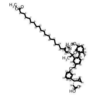 COC(=O)CCCCCCCCCCCCCCCCCc1cn(C(C)(C)c2cc(COc3cccc([C@@H](CC(=O)O)C4CC4)c3)ccc2-c2cc(OC)ccc2F)nn1